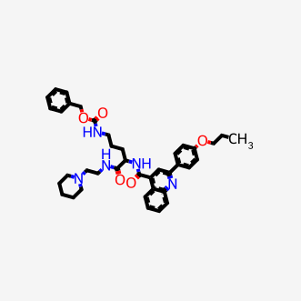 CCCOc1ccc(-c2cc(C(=O)NC(CCCNC(=O)OCc3ccccc3)C(=O)NCCN3CCCCC3)c3ccccc3n2)cc1